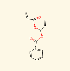 C=CC(=O)OC(C=C)OC(=O)c1ccccc1